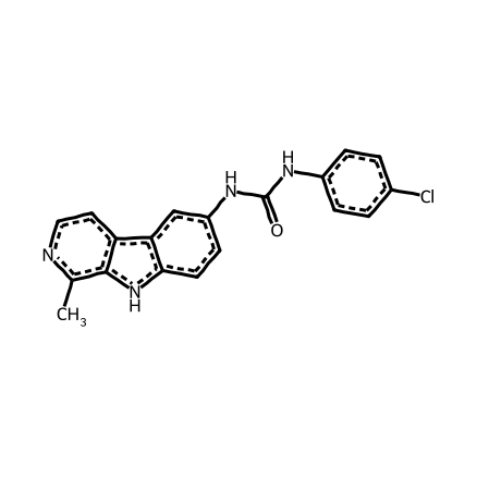 Cc1nccc2c1[nH]c1ccc(NC(=O)Nc3ccc(Cl)cc3)cc12